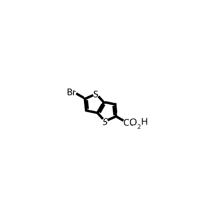 O=C(O)c1cc2sc(Br)cc2s1